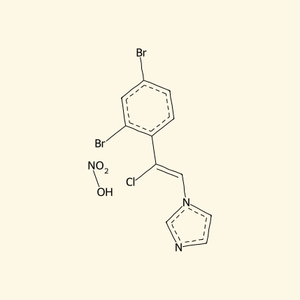 Cl/C(=C\n1ccnc1)c1ccc(Br)cc1Br.O=[N+]([O-])O